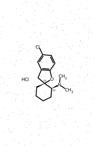 CN(C)[C@H]1CCCC[C@]12Cc1cc(Cl)ccc1O2.Cl